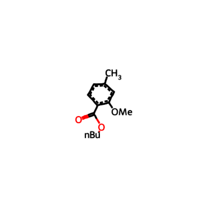 CCCCOC(=O)c1ccc(C)cc1OC